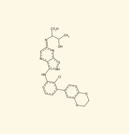 CC(O)C(N=c1cnc2c(Nc3cccc(-c4ccc5c(c4)OCCO5)c3Cl)[nH]sc-2n1)C(=O)O